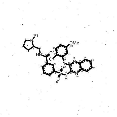 CCN1CCCC1CNC(=O)c1cccc(S(=O)(=O)Nc2nc3ccccc3nc2Nc2cc(OC)ccc2Cl)c1